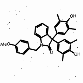 COc1ccc(CN2C(=O)C(c3cc(C)c(O)c(C)c3)(c3cc(C)c(O)c(C)c3)c3ccccc32)cc1